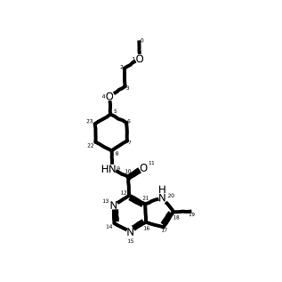 COCCOC1CCC(NC(=O)c2ncnc3cc(C)[nH]c23)CC1